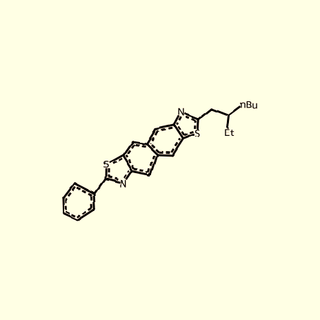 CCCCC(CC)Cc1nc2cc3cc4sc(-c5ccccc5)nc4cc3cc2s1